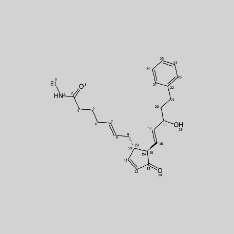 CCNC(=O)CCCC=CC[C@H]1C=CC(=O)[C@@H]1C=CC(O)CCc1ccccc1